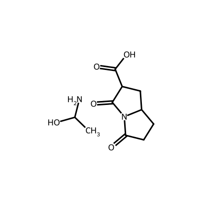 CC(N)O.O=C(O)C1CC2CCC(=O)N2C1=O